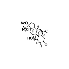 CC(=O)O[C@]1(C(C)=O)CC[C@H]2[C@@H]3C=C(Cl)C4=CC(=O)[C@@H]5C[C@@H]5[C@]4(C)[C@H]3[C@H](O)C[C@@]21C